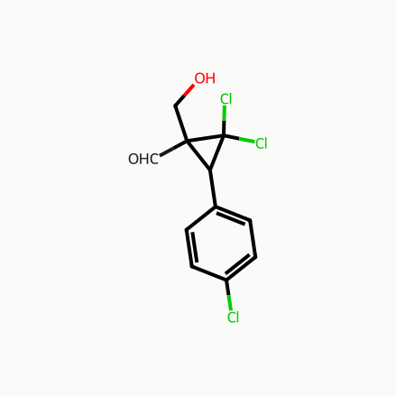 O=CC1(CO)C(c2ccc(Cl)cc2)C1(Cl)Cl